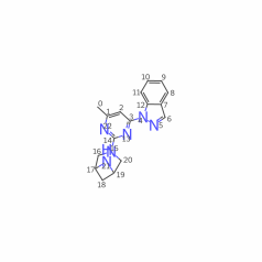 Cc1cc(-n2ncc3ccccc32)nc(N2CC3CC(C2)N3)n1